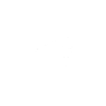 CCCC(=O)O[C@@H](CO)COP(=O)([O-])OCC[N+](C)(C)C